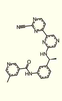 Cc1cncc(C(=O)Nc2cccc([C@H](C)Nc3cncc(-c4ccnc(C#N)n4)n3)c2)c1